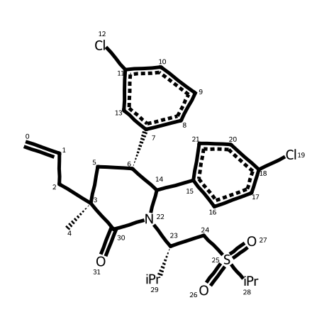 C=CC[C@@]1(C)C[C@H](c2cccc(Cl)c2)C(c2ccc(Cl)cc2)N([C@H](CS(=O)(=O)C(C)C)C(C)C)C1=O